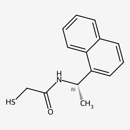 C[C@H](NC(=O)CS)c1cccc2ccccc12